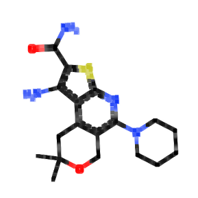 CC1(C)Cc2c(c(N3CCCCC3)nc3sc(C(N)=O)c(N)c23)CO1